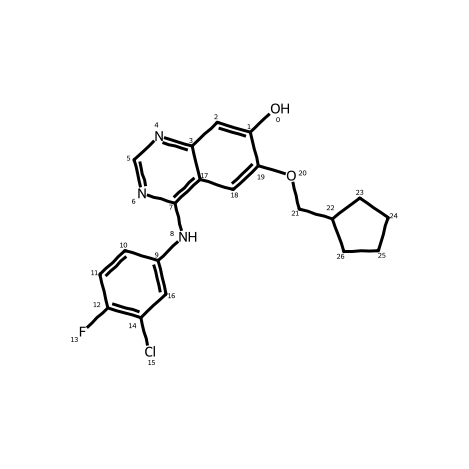 Oc1cc2ncnc(Nc3ccc(F)c(Cl)c3)c2cc1OCC1CCCC1